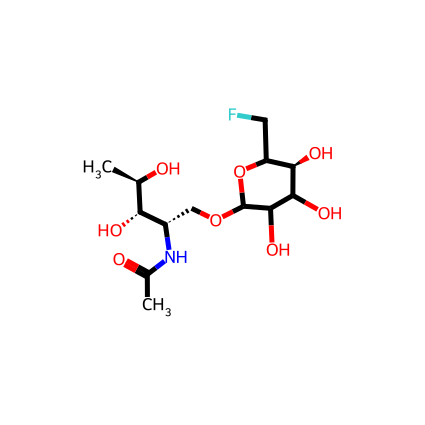 CC(=O)N[C@@H](COC1OC(CF)[C@@H](O)C(O)C1O)[C@H](O)[C@@H](C)O